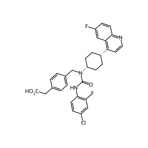 O=C(O)Cc1ccc(CN(C(=O)Nc2ccc(Cl)cc2F)[C@H]2CC[C@@H](c3ccnc4ccc(F)cc43)CC2)cc1